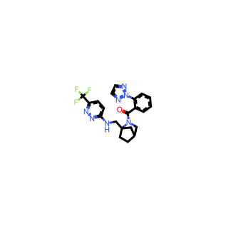 O=C(c1ccccc1-n1nccn1)N1CC2CCC1(CNc1ccc(C(F)(F)F)nn1)C2